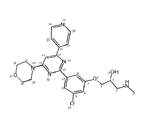 CNCC(O)COc1cc(Cl)cc(-c2nc(-c3ccncc3)cc(N3CCOCC3)n2)c1